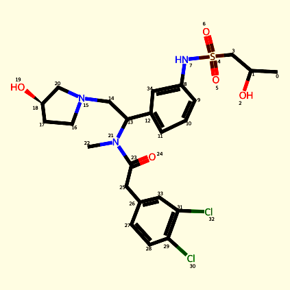 CC(O)CS(=O)(=O)Nc1cccc(C(CN2CC[C@@H](O)C2)N(C)C(=O)Cc2ccc(Cl)c(Cl)c2)c1